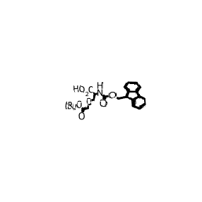 CC(C)(C)OC(=O)COCC(NC(=O)OCC1c2ccccc2-c2ccccc21)C(=O)O